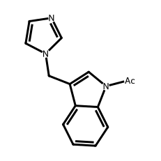 CC(=O)n1cc(Cn2ccnc2)c2ccccc21